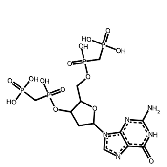 Nc1nc2c(ncn2C2CC(OP(=O)(O)CP(=O)(O)O)C(COP(=O)(O)CP(=O)(O)O)O2)c(=O)[nH]1